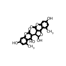 Cc1cc(O)cc2oc(=O)c(C3c4c(c5c(C)cc(O)cc5oc4=O)OC3O)c(O)c12